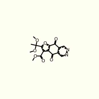 COC(=O)c1c(C(C)(OC)OC)oc2c1C(=O)c1cnncc1C2=O